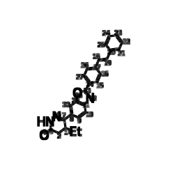 CCC1CC(=O)NN=C1c1ccc2nc(-c3ccc(/C=C/c4ccccc4)cc3)oc2c1